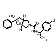 C[C@@H](NC(=O)N1C[C@@H]2C[C@@](O)(c3ccccc3)C[C@@H]2C1)c1ccc(Cl)cc1